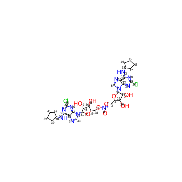 O=[N+](OC[C@H]1O[C@@H](n2cnc3c(NC4CCCC4)nc(Cl)nc32)[C@H](O)[C@H]1O)OC[C@H]1O[C@@H](n2cnc3c(NC4CCCC4)nc(Cl)nc32)[C@H](O)[C@H]1O